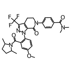 COc1ccc(-n2nc(C(F)(F)F)c3c2C(=O)N(c2ccc(C(=O)N(C)C)cc2)CC3)c(C(=O)N2C(C)CCC2C)c1